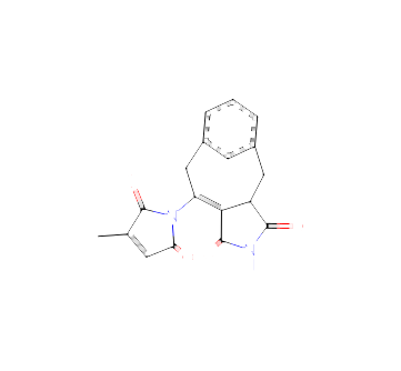 CC1=CC(=O)N(/C2=C3\C(=O)NC(=O)C3Cc3cccc(c3)C2)C1=O